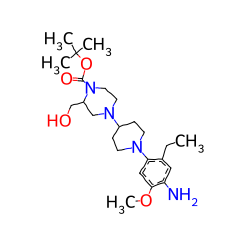 CCc1cc(N)c(OC)cc1N1CCC(N2CCN(C(=O)OC(C)(C)C)C(CO)C2)CC1